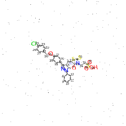 O=C1/C(=C\c2cn(-c3ccccc3)nc2-c2ccc(OCc3ccc(Cl)cc3)cc2)SC(=S)N1CCS(=O)(=O)O